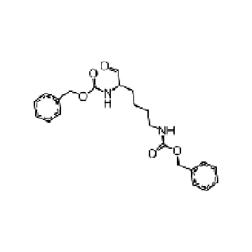 O=CC(CCCCNC(=O)OCc1ccccc1)NC(=O)OCc1ccccc1